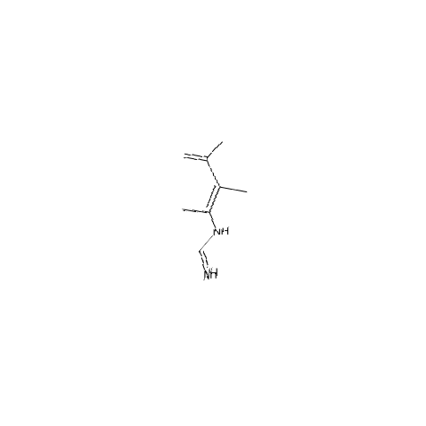 C=C(C)/C(C)=C(\C)NC=N